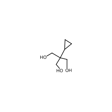 OCC(CO)(CO)C1CC1